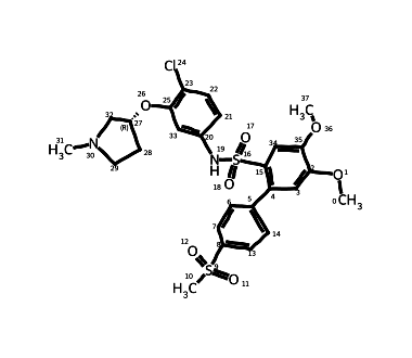 COc1cc(-c2ccc(S(C)(=O)=O)cc2)c(S(=O)(=O)Nc2ccc(Cl)c(O[C@@H]3CCN(C)C3)c2)cc1OC